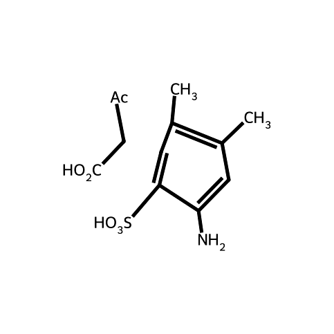 CC(=O)CC(=O)O.Cc1cc(N)c(S(=O)(=O)O)cc1C